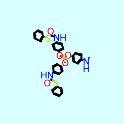 CNc1ccc(OP(Oc2ccc(NC(=O)Sc3ccccc3)cc2)Oc2ccc(NC(=O)Sc3ccccc3)cc2)cc1